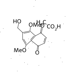 CC(=O)O.COc1cc(CO)c(OC)c2c1C(=O)C=CC2=O